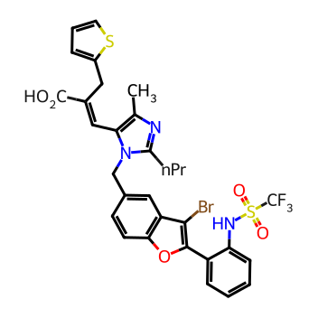 CCCc1nc(C)c(C=C(Cc2cccs2)C(=O)O)n1Cc1ccc2oc(-c3ccccc3NS(=O)(=O)C(F)(F)F)c(Br)c2c1